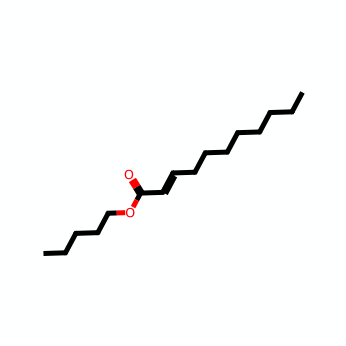 CCCCCCCCC=CC(=O)OCCCCC